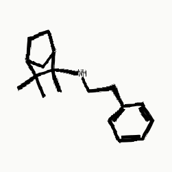 CC1(C)C2CCC(C2)C1(C)NCCc1ccccc1